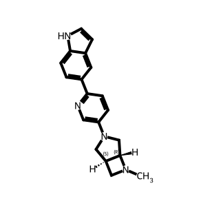 CN1C[C@H]2CN(c3ccc(-c4ccc5[nH]ccc5c4)nc3)C[C@@H]21